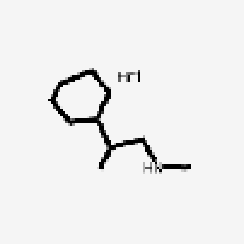 CNCC(C)C1CCCCC1.Cl